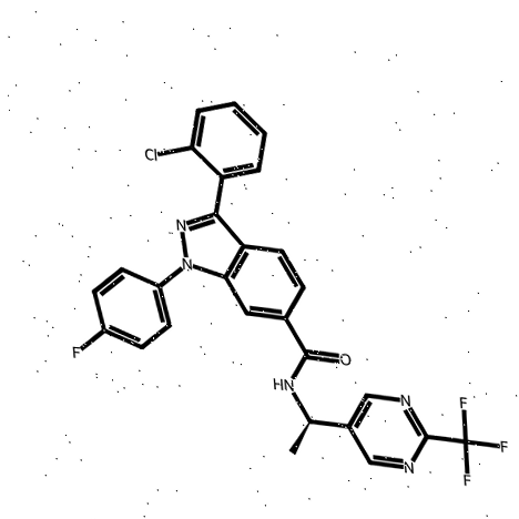 C[C@@H](NC(=O)c1ccc2c(-c3ccccc3Cl)nn(-c3ccc(F)cc3)c2c1)c1cnc(C(F)(F)F)nc1